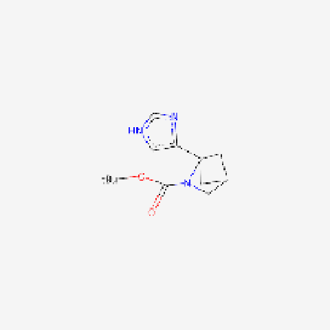 CC(C)(C)OC(=O)N1CC2CC1(c1c[nH]cn1)C2